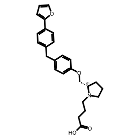 O=C(O)CCCN1CCC[C@H]1COc1ccc(Cc2ccc(-c3ccco3)cc2)cc1